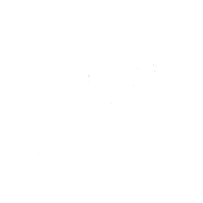 CCCCCCCCCC(N)=O.O=S(=O)(O)O